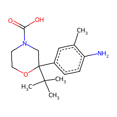 Cc1cc(C2(C(C)(C)C)CN(C(=O)O)CCO2)ccc1N